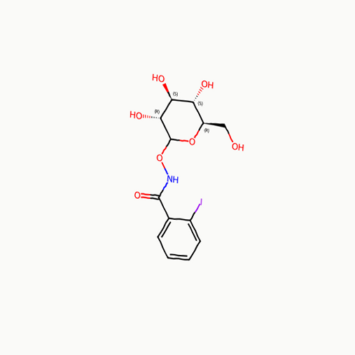 O=C(NOC1O[C@H](CO)[C@@H](O)[C@H](O)[C@H]1O)c1ccccc1I